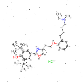 CCN(C)CCCCc1ccccc1OCCc1coc(-c2cc(C(C)(C)C)c(O)c(C(C)(C)C)c2)n1.Cl